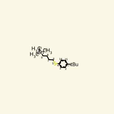 CC(C)(C)c1ccc(SCCC[CH2][Sn]([CH3])([CH3])[CH3])cc1